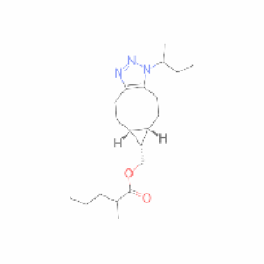 CCCC(C)C(=O)OC[C@@H]1[C@@H]2CCc3nnn(C(C)CC)c3CC[C@@H]21